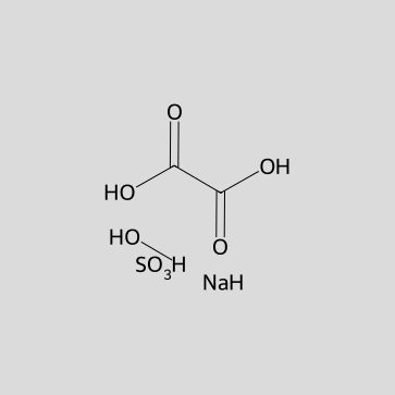 O=C(O)C(=O)O.O=S(=O)(O)O.[NaH]